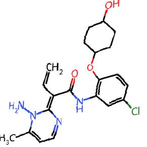 C=C/C(C(=O)Nc1cc(Cl)ccc1OC1CCC(O)CC1)=C1/N=CC=C(C)N1N